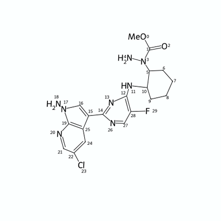 COC(=O)N(N)C1CCCCC1Nc1nc(-c2cn(N)c3ncc(Cl)cc23)ncc1F